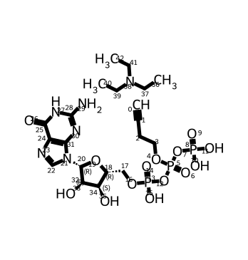 C#CCCOP(=O)(OP(=O)(O)O)OP(=O)(O)OC[C@H]1O[C@@H](n2cnc3c(=O)[nH]c(N)nc32)[C@H](O)[C@@H]1O.CCN(CC)CC